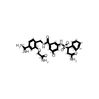 N=C(N)c1ccc(CNC(=O)c2cc(Cl)cc(NS(=O)(=O)C(CC(N)=O)c3ccccc3)c2)c(OCC(N)=O)c1